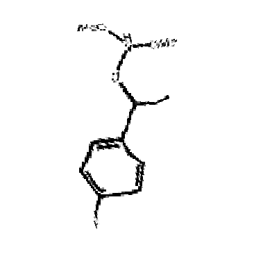 CO[SiH](OC)OC(C)c1ccc(F)cc1